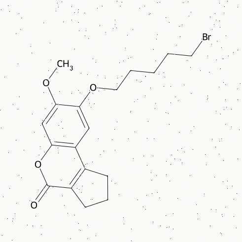 COc1cc2oc(=O)c3c(c2cc1OCCCCCBr)CCC3